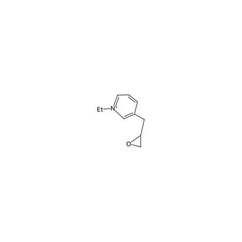 CC[n+]1cccc(CC2CO2)c1